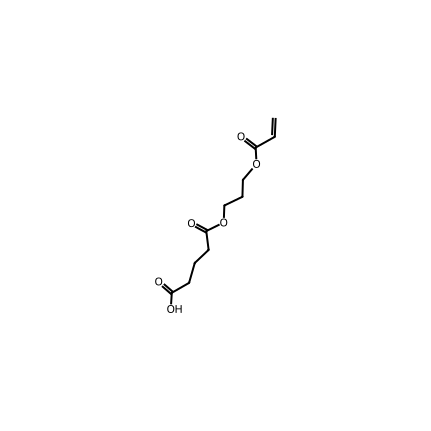 C=CC(=O)OCCCOC(=O)CCCC(=O)O